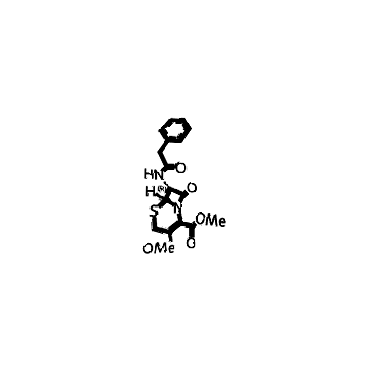 COC(=O)C1=C(OC)CS[C@@H]2[C@H](NC(=O)Cc3ccccc3)C(=O)N12